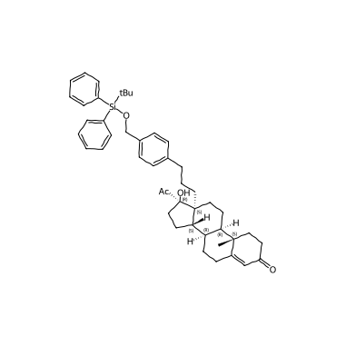 CC(=O)[C@@]1(O)CC[C@H]2[C@@H]3CCC4=CC(=O)CC[C@@]4(C)[C@@H]3CC[C@@]21CCCc1ccc(CO[Si](c2ccccc2)(c2ccccc2)C(C)(C)C)cc1